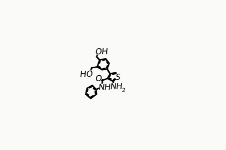 Nc1scc(-c2ccc(CO)c(CO)c2)c1C(=O)Nc1ccccc1